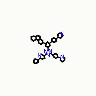 c1ccc(-c2ccc(-c3nc(-c4ccc(-c5ccccn5)cc4)nc(-c4cc(-c5ccc(-c6ccncc6)cc5)cc(-c5ccc6c(ccc7ccccc76)c5)c4)n3)cn2)cc1